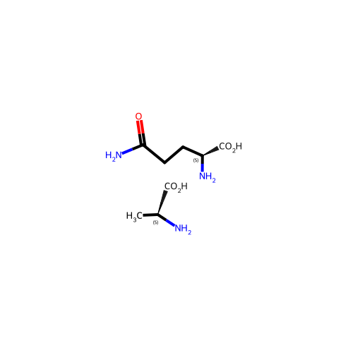 C[C@H](N)C(=O)O.NC(=O)CC[C@H](N)C(=O)O